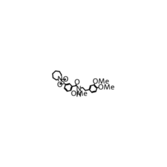 COc1ccc(CCNC(=O)c2cc(S(=O)(=O)N3CCCCCC3)ccc2OC)cc1OC